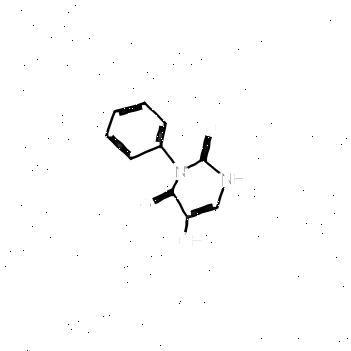 O=c1[nH]cc(O)c(=O)n1-c1ccccc1